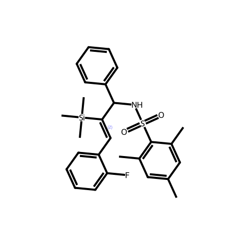 Cc1cc(C)c(S(=O)(=O)NC(/C(=C/c2ccccc2F)[Si](C)(C)C)c2ccccc2)c(C)c1